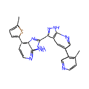 Cc1ccc(-c2ccnc3[nH]c(-c4n[nH]c5ncc(-c6cnccc6C)cc45)nc23)s1